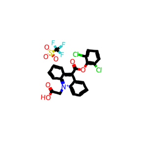 O=C(O)C[n+]1c2ccccc2c(C(=O)Oc2c(Cl)cccc2Cl)c2ccccc21.O=S(=O)([O-])C(F)(F)F